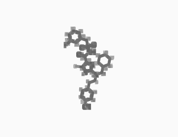 Cc1sc(N(CCc2ccc(C#N)cc2)CC2CCCCC2)nc1C(=O)NS(=O)(=O)Cc1cccc(F)c1